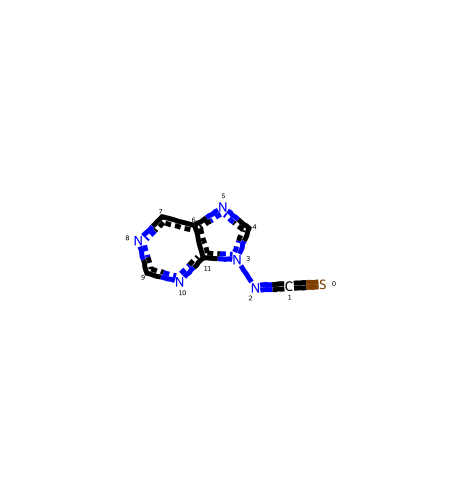 S=C=Nn1cnc2cncnc21